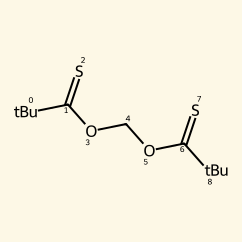 CC(C)(C)C(=S)OCOC(=S)C(C)(C)C